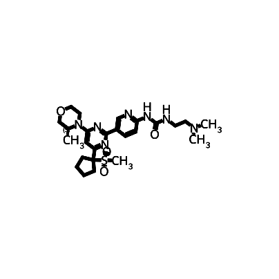 C[C@H]1COCCN1c1cc(C2(S(C)(=O)=O)CCCC2)nc(-c2ccc(NC(=O)NCCN(C)C)nc2)n1